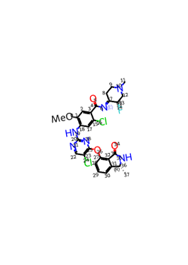 COc1cc(C(=O)/N=C2\CCN(C)C[C@H]2F)c(Cl)cc1Nc1ncc(Cl)c(Oc2cccc3c2C(=O)N[C@@H]3C)n1